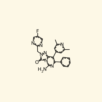 Cc1cc(-c2c(-c3ccccc3)nc(N)n3c(=O)n(Cc4ncc(F)cn4)nc23)cc(C)n1